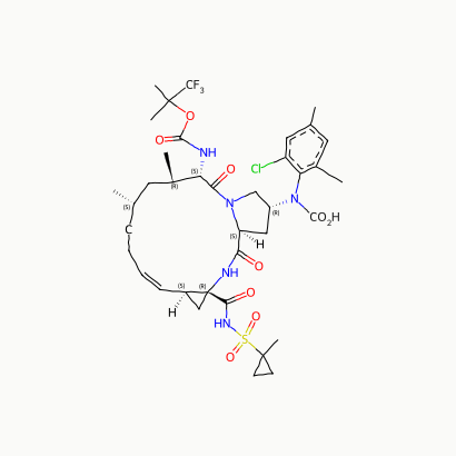 Cc1cc(C)c(N(C(=O)O)[C@@H]2C[C@H]3C(=O)N[C@]4(C(=O)NS(=O)(=O)C5(C)CC5)C[C@H]4C=CCC[C@H](C)C[C@@H](C)[C@H](NC(=O)OC(C)(C)C(F)(F)F)C(=O)N3C2)c(Cl)c1